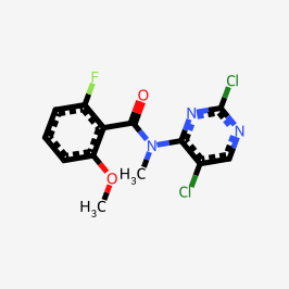 COc1cccc(F)c1C(=O)N(C)c1nc(Cl)ncc1Cl